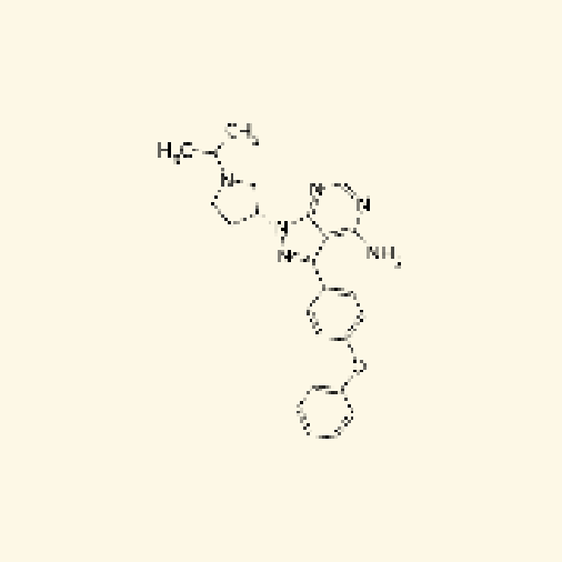 CC(C)N1CC[C@@H](n2nc(-c3ccc(Oc4ccccc4)cc3)c3c(N)ncnc32)C1